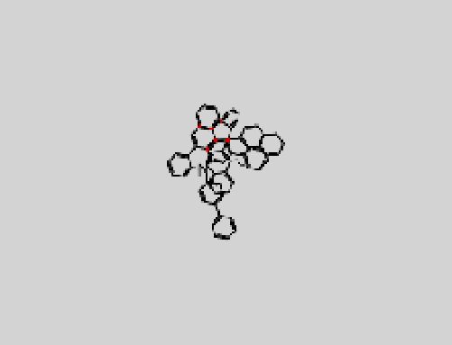 C1=Cc2c(ccc3c2Oc2c(ccc4ccccc24)C32c3ccccc3-c3ccc(-c4ccccc4N(c4ccc(-c5ccccc5)cc4)c4cc(-c5ccccc5)cc(-c5ccccc5)c4)cc32)CC1